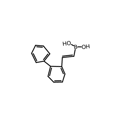 OB(O)C=Cc1ccccc1-c1ccccc1